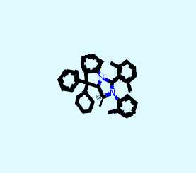 Cc1ccccc1N1C(c2c(C)cccc2C)N2c3ccccc3C(c3ccccc3)(C3CCCCC3)C2[C@@H]1C